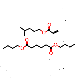 C=CC(=O)OCCCC(C)C.CCCCOC(=O)CCCCC(=O)OCCCC